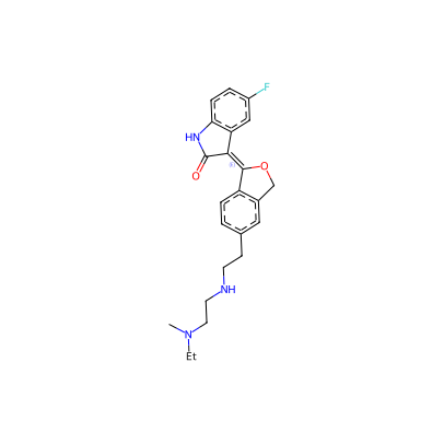 CCN(C)CCNCCc1ccc2c(c1)CO/C2=C1/C(=O)Nc2ccc(F)cc21